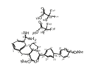 COC(=O)C(Cc1cccc(C(=N)N)c1)C1CCCN1C(=O)c1ccc(-c2ccc(OC)nc2)cc1.O=C(O)C(F)(F)F.O=C(O)C(F)(F)F